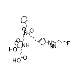 O=C(O)CCC(NC(=O)CCN(OCc1ccccc1)C(=O)CCCc1ccc(-n2cc(CCCF)nn2)cc1)C(=O)O